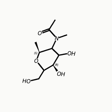 CC(=O)N(C)C1C(O)[C@@H](O)C(CO)O[C@H]1C